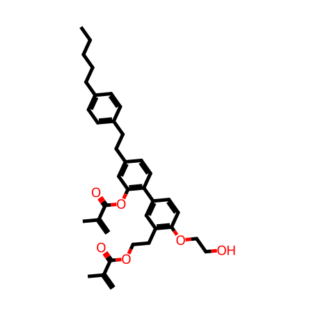 C=C(C)C(=O)OCCc1cc(-c2ccc(CCc3ccc(CCCCC)cc3)cc2OC(=O)C(=C)C)ccc1OCCO